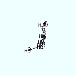 N[C@@H](CCCCCC(=O)COCCOCCNC(=O)COCCOCNC(=O)CC[C@H](NC(=O)CCCCCCCCCCCCCCCCC(=O)O)C(=O)O)C(=O)B(F)I